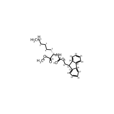 CNCCCC[C@H](NC(=O)OCC1c2ccccc2-c2ccccc21)C(=O)OC